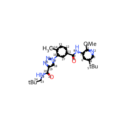 COc1ncc(C(C)(C)C)cc1NC(=O)c1ccc(C)c(-n2cc(C(=O)NCC(C)(C)C)nn2)c1